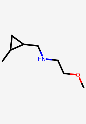 COCCNCC1CC1C